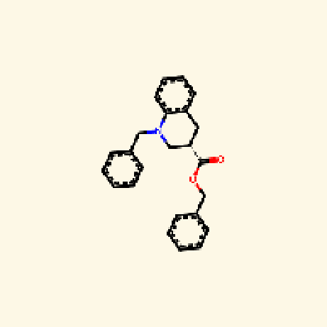 O=C(OCc1ccccc1)[C@H]1Cc2ccccc2N(Cc2ccccc2)C1